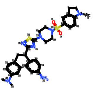 CC(=O)N1CCc2cc(S(=O)(=O)N3CCN(c4nc(C(Cc5ccc(N(C)C)cc5)c5ccc(N)cc5)ns4)CC3)ccc21